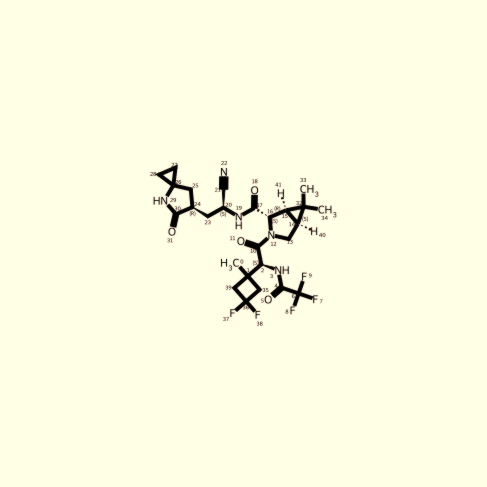 CC1([C@H](NC(=O)C(F)(F)F)C(=O)N2C[C@H]3[C@@H]([C@H]2C(=O)N[C@H](C#N)C[C@@H]2CC4(CC4)NC2=O)C3(C)C)CC(F)(F)C1